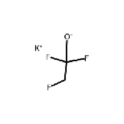 [K+].[O-]C(F)(F)CF